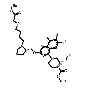 CC(C)(C)OC(=O)COCCCCN1CCC[C@H]1COc1nc(N2CCN(C(=O)OC(C)(C)C)[C@@H](CC#N)C2)c2cc(Cl)c(Br)c(F)c2n1